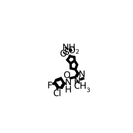 Cn1cnc(C2CC3CC(S(N)(=O)=O)CC3C2)c1C(=O)Nc1ccc(F)c(Cl)c1